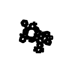 Cc1cc2c3c(c1)N(c1cccc4oc5ccccc5c14)c1cc4c(cc1B3c1ccc3cc1N2c1cc2c(cc1C)C(C)(C)CCC2(C)c1cc2c(cc1-c1ccccc1)C1(C)CCCCC1(C)C32)C(C)(C)CCC4(C)C